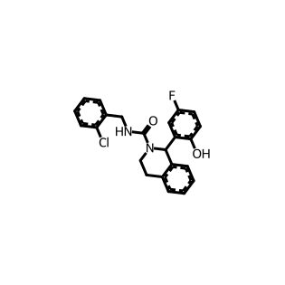 O=C(NCc1ccccc1Cl)N1CCc2ccccc2C1c1cc(F)ccc1O